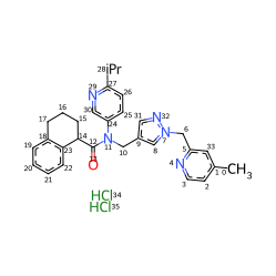 Cc1ccnc(Cn2cc(CN(C(=O)C3CCCc4ccccc43)c3ccc(C(C)C)nc3)cn2)c1.Cl.Cl